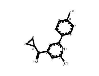 O=C(c1cc(Cl)nc(-c2ccc(F)cc2)c1)C1CC1